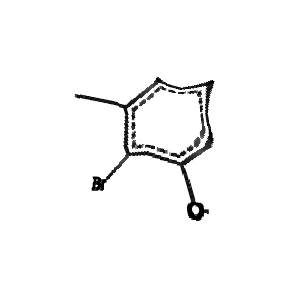 Cc1cccc([O])c1Br